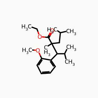 CCOC(=O)C(C)(CC(C)C)C(c1ccccc1OC)C(C)C